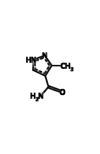 Cc1n[nH]cc1C(N)=O